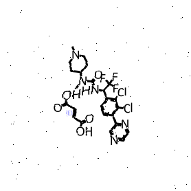 CN1CCC(N(C)C(=O)NC(c2ccc(-c3cnccn3)c(Cl)c2Cl)C(F)(F)F)CC1.O=C(O)/C=C/C(=O)O